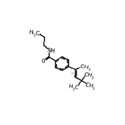 CCCNC(=O)c1ccc(/C(C)=C/C(C)(C)C)cc1